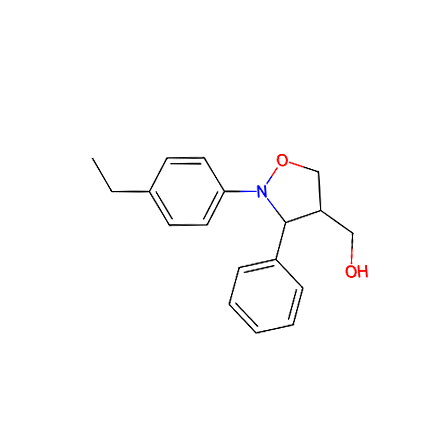 CCc1ccc(N2OCC(CO)C2c2ccccc2)cc1